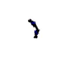 C=C/C=C(\C=C/C)C1=CN2C(=C)c3cc(C)c(CCCCCc4cc5c(cc4C)C(=C)N4C=C(C(/C=C\C)=C/C)CC4C=N5)cc3N=CC2C1